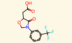 O=C(O)CC1OCN(c2cccc(C(F)(F)F)c2)C1=O